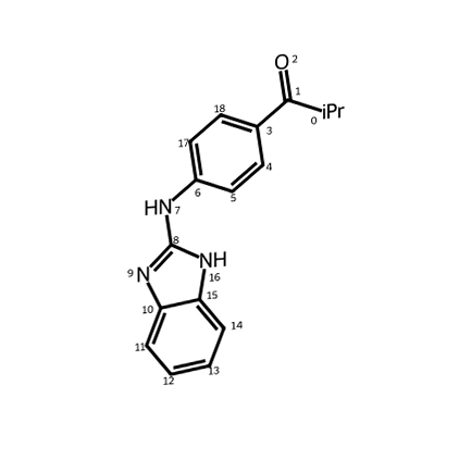 CC(C)C(=O)c1ccc(Nc2nc3ccccc3[nH]2)cc1